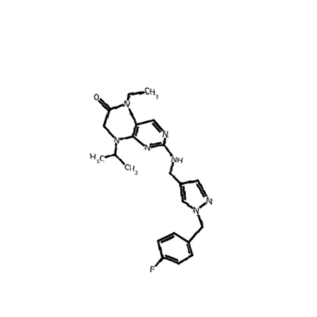 CCN1C(=O)CN(C(C)C)c2nc(NCc3cnn(Cc4ccc(F)cc4)c3)ncc21